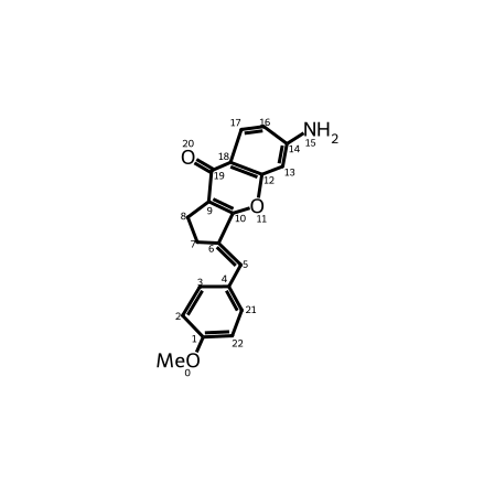 COc1ccc(/C=C2\CCc3c2oc2cc(N)ccc2c3=O)cc1